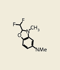 CNc1ccc2c(c1)N(C)C(C(F)F)O2